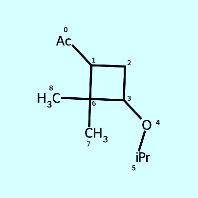 CC(=O)C1CC(OC(C)C)C1(C)C